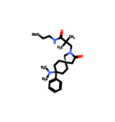 COCCNC(=O)C(C)(C)CN1C[C@]2(CC[C@](c3ccccc3)(N(C)C)CC2)CC1=O